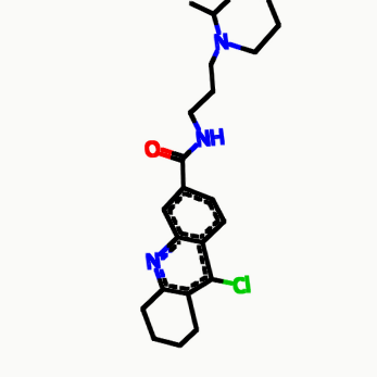 CC1CCCCN1CCCNC(=O)c1ccc2c(Cl)c3c(nc2c1)CCCC3